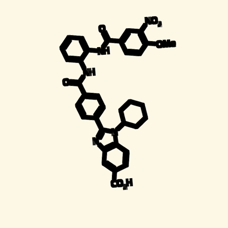 COc1ccc(C(=O)Nc2ccccc2NC(=O)c2ccc(-c3nc4cc(C(=O)O)ccc4n3C3CCCCC3)cc2)cc1[N+](=O)[O-]